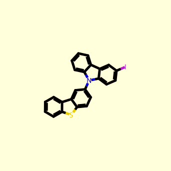 Ic1ccc2c(c1)c1ccccc1n2-c1ccc2sc3ccccc3c2c1